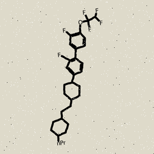 CCCC1CCC(CCC2CCC(c3ccc(-c4ccc(OC(F)(F)C(F)F)c(F)c4)c(F)c3)CC2)CC1